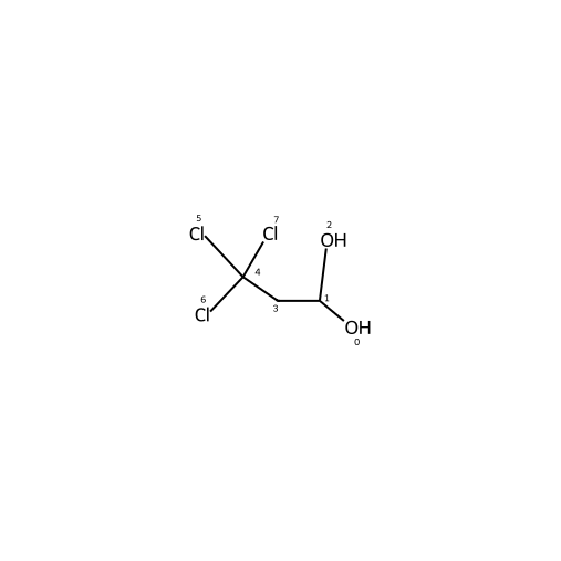 OC(O)CC(Cl)(Cl)Cl